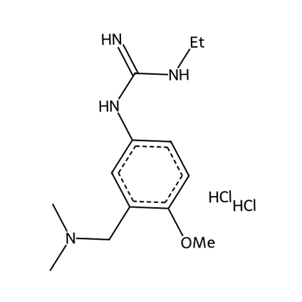 CCNC(=N)Nc1ccc(OC)c(CN(C)C)c1.Cl.Cl